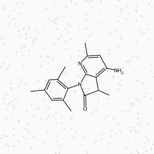 Cc1cc(C)c(N2C(=O)C(C)c3c(N)cc(C)nc32)c(C)c1